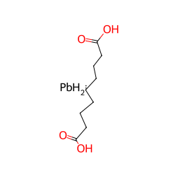 O=C(O)CCCCCCCC(=O)O.[PbH2]